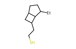 CCC1CCC2CC(CCS)C12